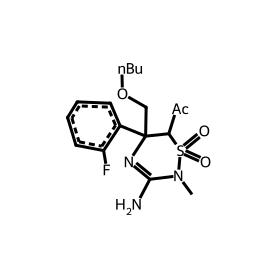 CCCCOCC1(c2ccccc2F)N=C(N)N(C)S(=O)(=O)C1C(C)=O